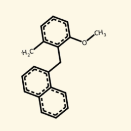 [CH2]c1cccc(OC)c1Cc1cccc2ccccc12